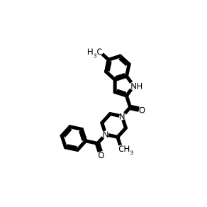 Cc1ccc2[nH]c(C(=O)N3CCN(C(=O)c4ccccc4)C(C)C3)cc2c1